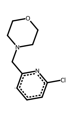 Clc1cc[c]c(CN2CCOCC2)n1